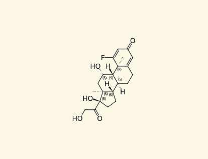 C[C@]12C(F)=CC(=O)C=C1CC[C@@H]1[C@@H]2[C@@H](O)C[C@@]2(C)[C@H]1CC[C@]2(O)C(=O)CO